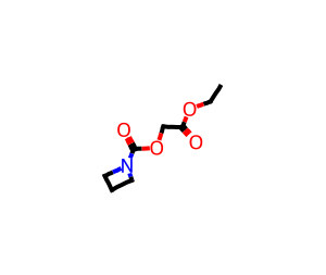 CCOC(=O)COC(=O)N1CCC1